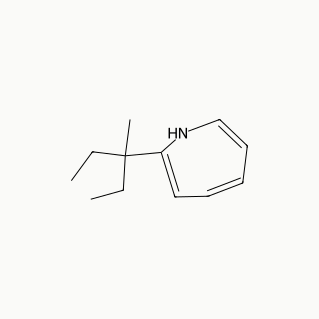 CCC(C)(CC)C1=CC=CC=CN1